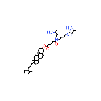 CCC(CCCC1CCC2C3CC=C4CC(OC(=O)CCCC(=O)N(CCCCNCCC(C)N)CCC(C)N)CCC4(C)C3CCC12C)C(C)C